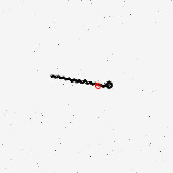 CCCCCCCCCCCCCCCCCCOCCc1[c]cccc1